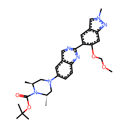 COCOc1cc2nn(C)cc2cc1-c1ncc2cc(N3C[C@H](C)N(C(=O)OC(C)(C)C)[C@@H](C)C3)ccc2n1